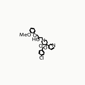 COc1ccccc1OCC(O)CN1CCC(OC(=O)c2ccc(Cl)cc2)(c2cccnc2)CC1